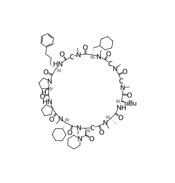 CC[C@H](C)[C@@H]1NC(=O)[C@H](C)N(C)C(=O)C[C@@H](C(=O)N2CCCCC2)N(C)C(=O)[C@H](C2CCCCC2)N(C)C(=O)C2(CCCC2)NC(=O)[C@@H]2CCCN2C(=O)[C@H](CCCc2ccccc2)NC(=O)CN(C)C(=O)[C@H](CC2CCCCC2)N(C)C(=O)CN(C)C(=O)CN(C)C1=O